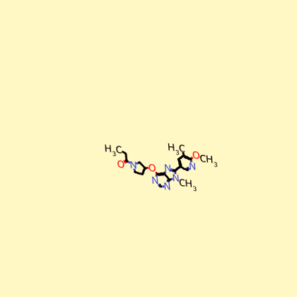 CCC(=O)N1CCC(Oc2ncnc3c2nc(-c2cnc(OC)c(C)c2)n3C)C1